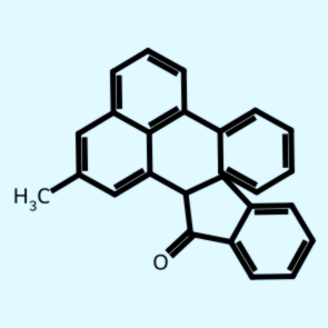 Cc1cc(C2Cc3ccccc3C2=O)c2c(-c3ccccc3)cccc2c1